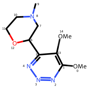 COc1nnnc(C2CN(C)CCO2)c1OC